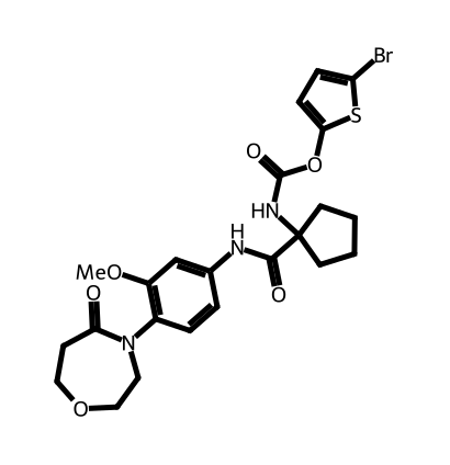 COc1cc(NC(=O)C2(NC(=O)Oc3ccc(Br)s3)CCCC2)ccc1N1CCOCCC1=O